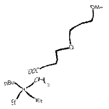 CCCC[N+](C)(CC)CC.COCCOCCC(=O)[O-]